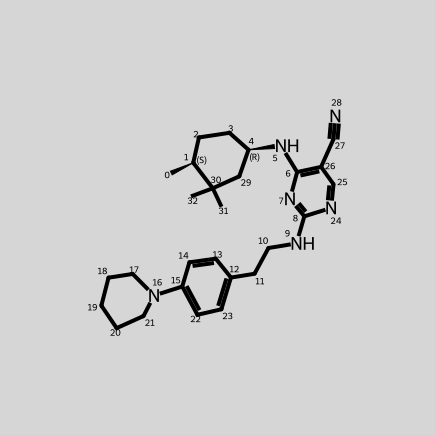 C[C@H]1CC[C@@H](Nc2nc(NCCc3ccc(N4CCCCC4)cc3)ncc2C#N)CC1(C)C